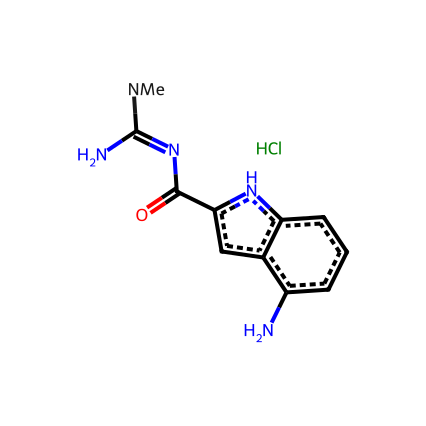 CNC(N)=NC(=O)c1cc2c(N)cccc2[nH]1.Cl